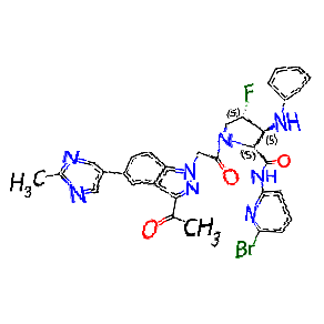 CC(=O)c1nn(CC(=O)N2C[C@H](F)[C@@H](Nc3ccccc3)[C@H]2C(=O)Nc2cccc(Br)n2)c2ccc(-c3cnc(C)nc3)cc12